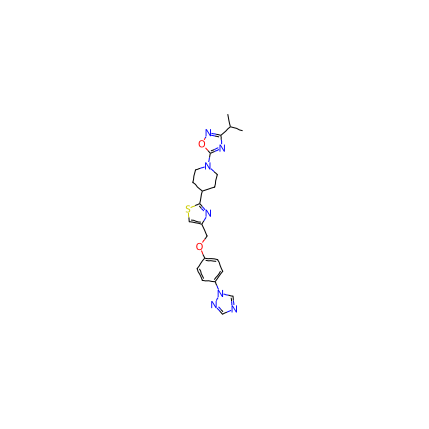 CC(C)c1noc(N2CCC(c3nc(COc4ccc(-n5cncn5)cc4)cs3)CC2)n1